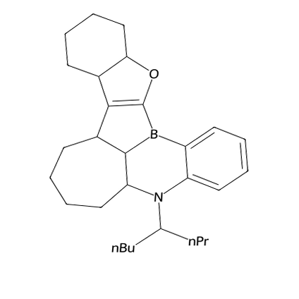 CCCCC(CCC)N1c2ccccc2B2C3=C(C4CCCCC4O3)C3CCCCC1C23